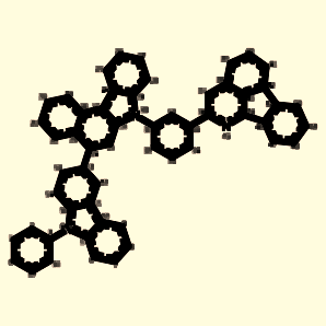 c1ccc(-n2c3ccccc3c3cc(-c4cc5c(c6ccccc46)c4ccccc4n5-c4cccc(-c5cc6cccc7c6c(n5)-c5ccccc5-7)c4)ccc32)cc1